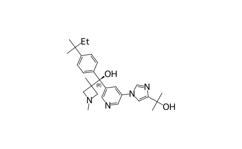 CCC(C)(C)c1ccc([C@](O)(c2cncc(-n3cnc(C(C)(C)O)c3)c2)C2(C)CN(C)C2)cc1